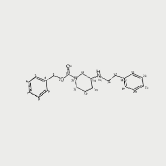 O=C(OCc1ccccc1)N1CCCC(NCCc2ccccc2)C1